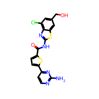 Nc1nccc(-c2ccc(C(=O)Nc3nc4c(Cl)cc(CO)cc4s3)s2)n1